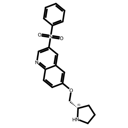 O=S(=O)(c1ccccc1)c1cnc2ccc(OC[C@@H]3CCCN3)cc2c1